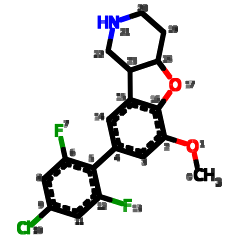 COc1cc(-c2c(F)cc(Cl)cc2F)cc2c1OC1CCNCC21